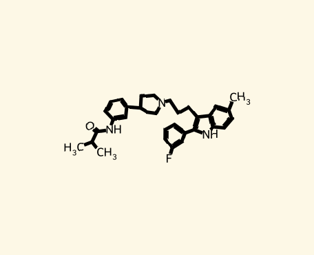 Cc1ccc2[nH]c(-c3cccc(F)c3)c(CCCN3CCC(c4cccc(NC(=O)C(C)C)c4)CC3)c2c1